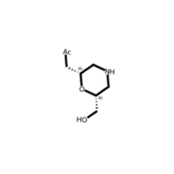 CC(=O)C[C@@H]1CNC[C@H](CO)O1